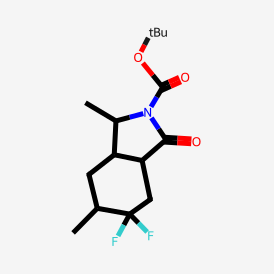 CC1C2CC(C)C(F)(F)CC2C(=O)N1C(=O)OC(C)(C)C